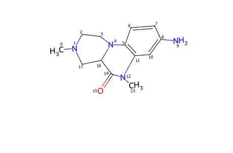 CN1CCN2c3ccc(N)cc3N(C)C(=O)C2C1